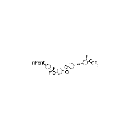 CCCCCc1ccc(C(F)(F)OC2CCC(C(=O)OC3CCC(C#Cc4ccc(OC(F)(F)F)c(F)c4)CC3)CC2)cc1